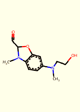 CN(CCO)c1ccc2c(c1)OC(C=O)N2C